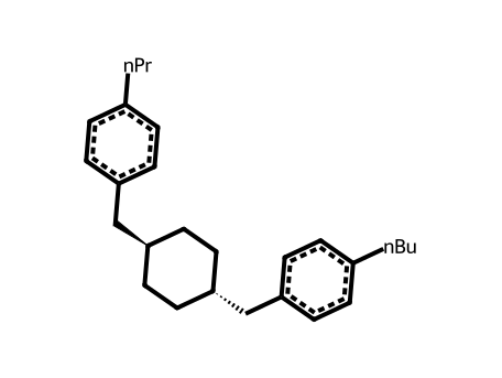 CCCCc1ccc(C[C@H]2CC[C@H](Cc3ccc(CCC)cc3)CC2)cc1